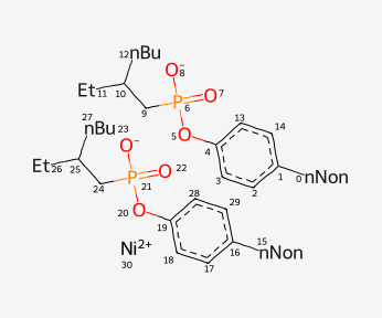 CCCCCCCCCc1ccc(OP(=O)([O-])CC(CC)CCCC)cc1.CCCCCCCCCc1ccc(OP(=O)([O-])CC(CC)CCCC)cc1.[Ni+2]